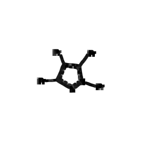 CC(C)c1nn(C(C)C)c(C(C)C)c1C(C)C